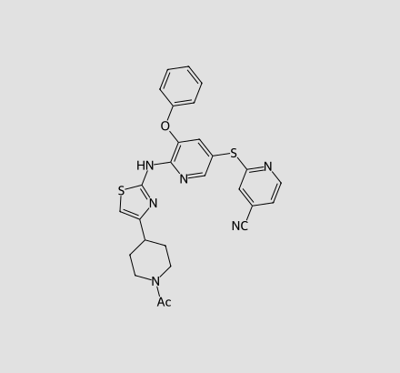 CC(=O)N1CCC(c2csc(Nc3ncc(Sc4cc(C#N)ccn4)cc3Oc3ccccc3)n2)CC1